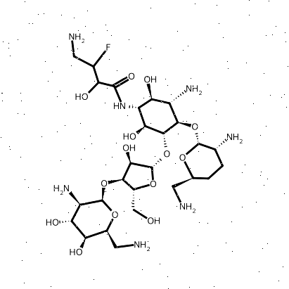 NCC(F)C(O)C(=O)N[C@@H]1[C@@H](O)[C@H](N)[C@@H](O[C@H]2O[C@H](CN)CC[C@H]2N)[C@H](O[C@@H]2O[C@H](CO)[C@@H](O[C@H]3O[C@@H](CN)[C@@H](O)[C@H](O)[C@H]3N)[C@H]2O)[C@H]1O